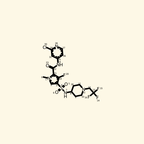 Cn1cc(S(=O)(=O)NC2CCN(CC(F)(F)F)CC2)c(F)c1C(=O)Nc1ccnc(Cl)c1